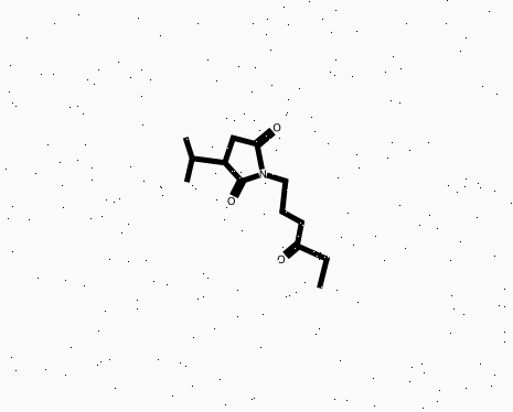 CCC(=O)CCCN1C(=O)CC(C(C)C)C1=O